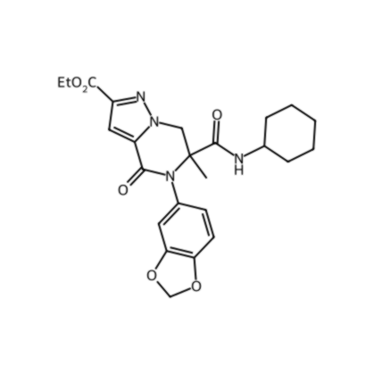 CCOC(=O)c1cc2n(n1)CC(C)(C(=O)NC1CCCCC1)N(c1ccc3c(c1)OCO3)C2=O